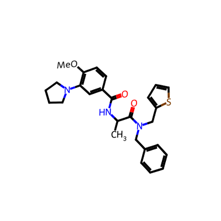 COc1ccc(C(=O)NC(C)C(=O)N(Cc2ccccc2)Cc2cccs2)cc1N1CCCC1